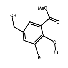 CCOc1c(Br)cc(CO)cc1C(=O)OC